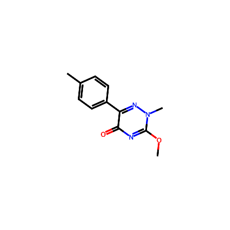 COc1nc(=O)c(-c2ccc(C)cc2)nn1C